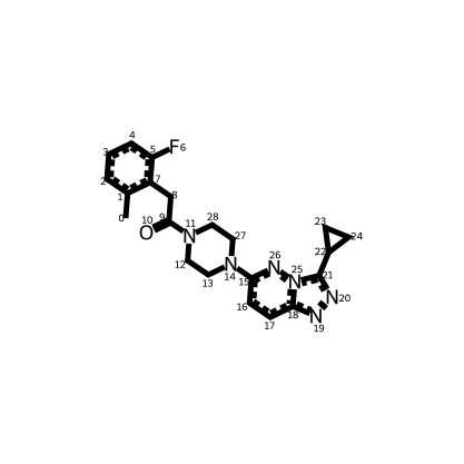 Cc1cccc(F)c1CC(=O)N1CCN(c2ccc3nnc(C4CC4)n3n2)CC1